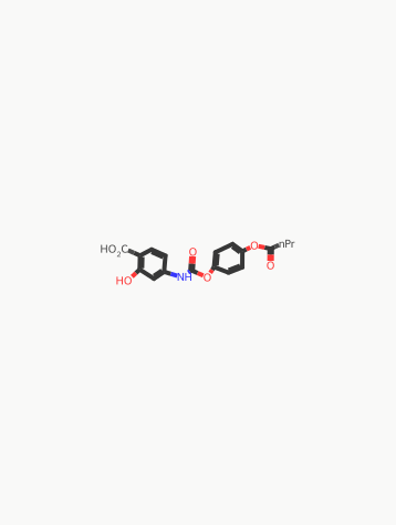 CCCC(=O)Oc1ccc(OC(=O)Nc2ccc(C(=O)O)c(O)c2)cc1